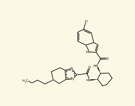 CCCCN1CCc2nc(C(=O)N[C@@H]3CCCC[C@@H]3NC(=O)C3=CC4C=C(Cl)C=CC4N3)sc2C1